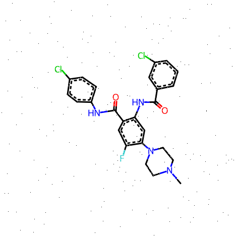 CN1CCN(c2cc(NC(=O)c3cccc(Cl)c3)c(C(=O)Nc3ccc(Cl)cc3)cc2F)CC1